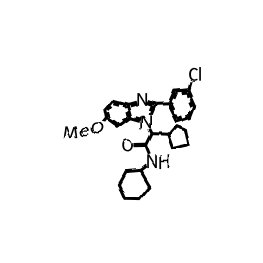 COc1ccc2nc(-c3cccc(Cl)c3)n(C(C(=O)NC3CCCCC3)C3CCCC3)c2c1